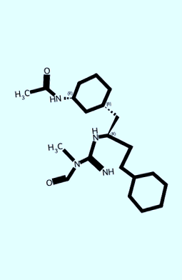 CC(=O)N[C@@H]1CCC[C@H](C[C@@H](CCC2CCCCC2)NC(=N)N(C)C=O)C1